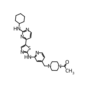 CC(=O)N1CCN(Cc2ccnc(Nc3ncc(-c4ccnc(NC5CCCCC5)n4)s3)c2)CC1